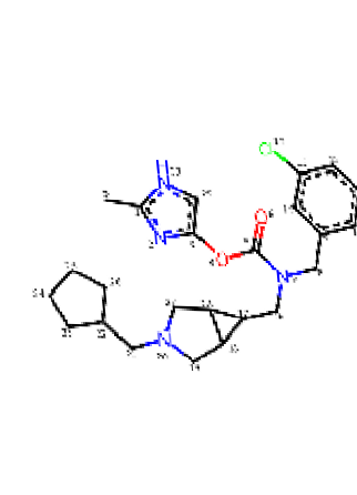 Cc1nc(OC(=O)N(Cc2cccc(Cl)c2)CC2C3CN(CC4CCCC4)CC32)c[nH]1